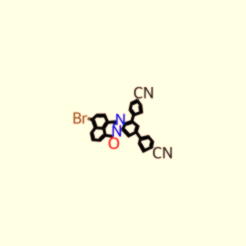 N#Cc1ccc(-c2cc(-c3ccc(C#N)cc3)c3nc4c5ccc(Br)c6cccc(c(=O)n4c3c2)c65)cc1